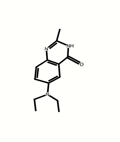 CCN(CC)c1ccc2nc(C)[nH]c(=O)c2c1